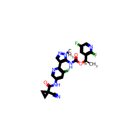 C[C@@H](OC(=O)Nc1c(-c2ncc(NC(=O)C3(C#N)CC3)cc2F)cnn1C)c1cc(F)cnc1F